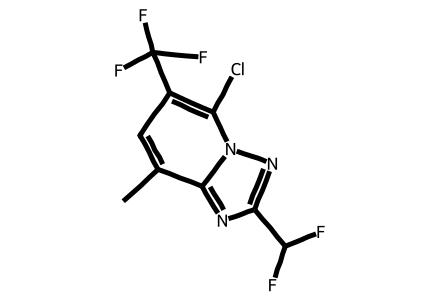 Cc1cc(C(F)(F)F)c(Cl)n2nc(C(F)F)nc12